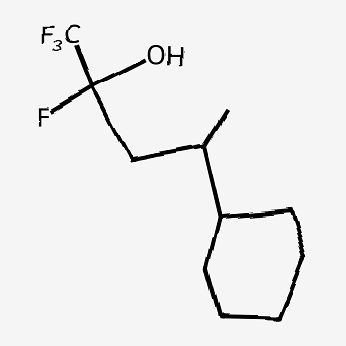 CC(CC(O)(F)C(F)(F)F)C1CCCCC1